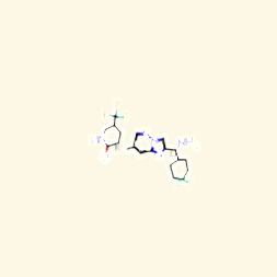 N[C@H](c1cn2ncc(C[C@H]3CC(C(F)(F)F)CNC3=O)cc2n1)C1CCC(F)(F)CC1